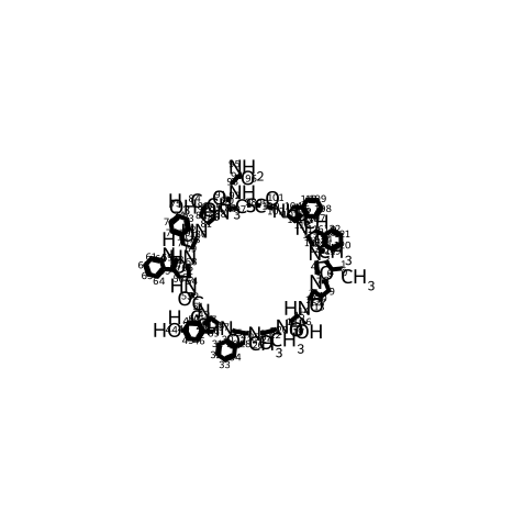 CCCC[C@H]1C(=O)N2CCC[C@@H]2C(=O)N[C@@H](CO)C(=O)N[C@@H](C)C(=O)N(C)[C@@H](Cc2ccccc2)C(=O)N[C@@H](Cc2ccc(O)cc2)C(=O)N(C)CC(=O)N[C@@H](Cc2c[nH]c3ccccc23)C(=O)N[C@@H](Cc2ccc(O)cc2)C(=O)N[C@@H](CC(C)C)C(=O)N[C@H](C(=O)NCC(N)=O)CSCC(=O)N[C@@H](Cc2ccccc2)C(=O)N(C)[C@@H](Cc2ccccc2)C(=O)N1C